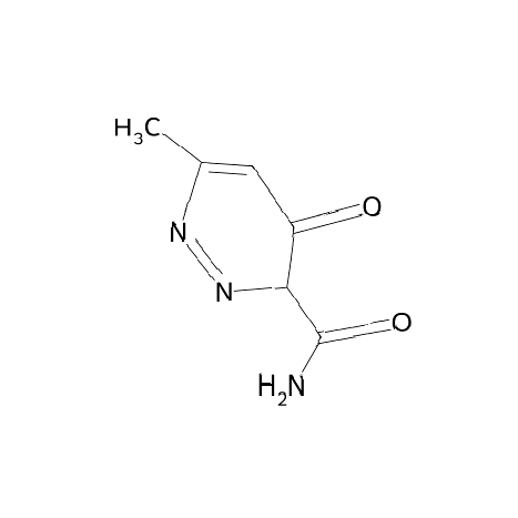 CC1=CC(=O)C(C(N)=O)N=N1